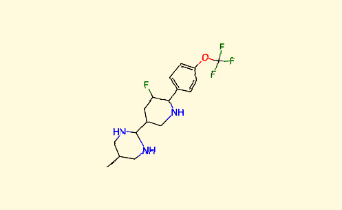 CC1CNC(C2CNC(c3ccc(OC(F)(F)F)cc3)C(F)C2)NC1